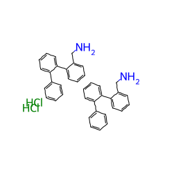 Cl.Cl.NCc1ccccc1-c1ccccc1-c1ccccc1.NCc1ccccc1-c1ccccc1-c1ccccc1